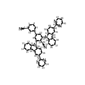 N#Cc1cccc(-c2cc(-n3c4ccccc4c4cc(-c5ncccn5)ccc43)c(C#N)c(-n3c4ccccc4c4cc(-c5ncccn5)ccc43)c2)c1